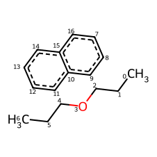 CCCOCCC.c1ccc2ccccc2c1